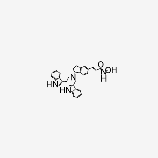 O=C(C=Cc1ccc2c(c1)CCC2N(CCc1c[nH]c2ccccc12)Cc1c[nH]c2ccccc12)NO